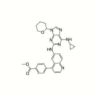 COC(=O)c1ccc(-c2ccnc3ccc(Nc4nc(NC5CC5)c5ncn(C6CCCCO6)c5n4)cc23)cc1